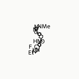 CCN1CCN(Cc2ccc(NC(=O)C3CCc4ccc(Oc5cc(NC)ncn5)cc4C3)cc2C(F)(F)F)CC1